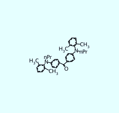 CCCN(c1ccc(C(=O)c2ccc(N(CCC)c3c(C)cccc3C)cc2)cc1)c1c(C)cccc1C